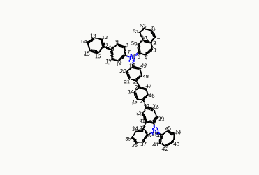 C1=Cc2ccc(N(c3ccc(-c4ccccc4)cc3)c3ccc(-c4ccc(-c5ccc6c(c5)c5ccccc5n6-c5ccccc5)cc4)cc3)cc2CC1